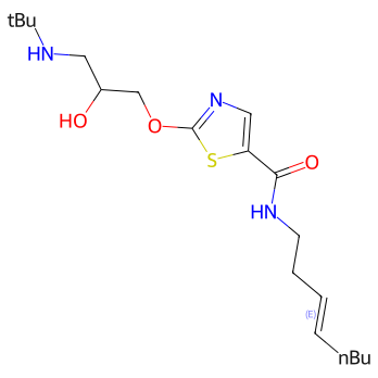 CCCC/C=C/CCNC(=O)c1cnc(OCC(O)CNC(C)(C)C)s1